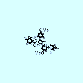 COc1cc(N2C(=O)[C@@H](NC(=O)c3ccc(C)cc3)[C@H](c3c(F)cc(OC)cc3P)[C@H]2C)nc(N2C[C@@H]3C[C@@]2(C)CN3C)c1